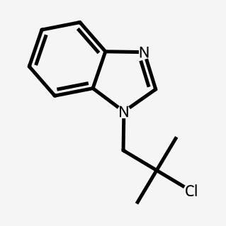 CC(C)(Cl)Cn1cnc2ccccc21